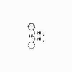 NC(NC(N)C1CCCCC1)C1C=CC=CC1